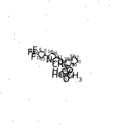 Cc1nc(-c2ccc(C(F)(F)F)cc2)ccc1COc1cc(OC(C)(C)C(=O)O)c2ccccc2c1